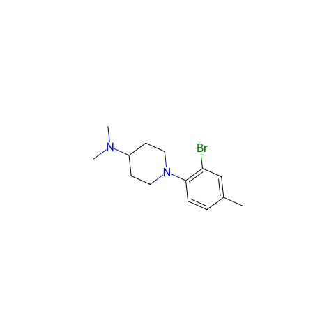 Cc1ccc(N2CCC(N(C)C)CC2)c(Br)c1